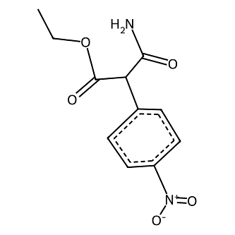 CCOC(=O)C(C(N)=O)c1ccc([N+](=O)[O-])cc1